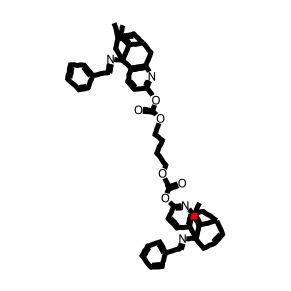 C/C=C1\C2C=CCC1(/N=C/c1ccccc1)c1ccc(OC(=O)OCCCCOC(=O)Oc3ccc4c(n3)CC3C=C(C)CC4(/N=C/c4ccccc4)/C3=C/C)nc1C2